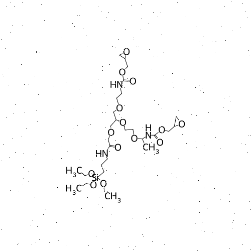 CCO[Si](CCCNC(=O)COCC(COCCNC(=O)OCC1CO1)OCCOC(C)NC(=O)OCC1CO1)(OCC)OCC